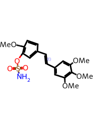 COc1ccc(/C=C/c2cc(OC)c(OC)c(OC)c2)cc1OS(N)(=O)=O